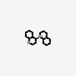 c1ccc2c(c1)ccc[n+]2-c1ccnc2ccccc12